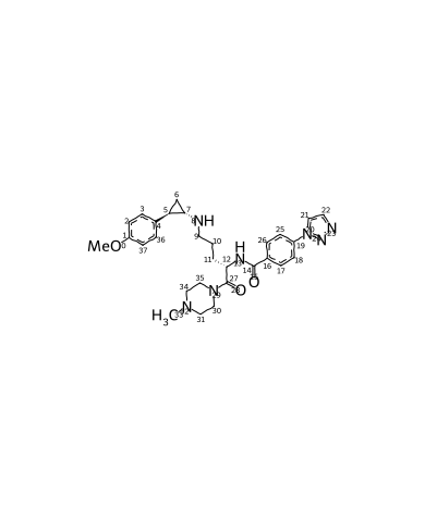 COc1ccc([C@H]2C[C@@H]2NCCC[C@H](NC(=O)c2ccc(-n3ccnn3)cc2)C(=O)N2CCN(C)CC2)cc1